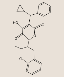 CCC(Cc1ccccc1Cl)C1OC(=O)C(C(c2ccccc2)C2CC2)=C(O)C1=O